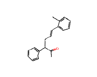 CC(=O)C(CC=Cc1ccccc1C)c1ccccc1